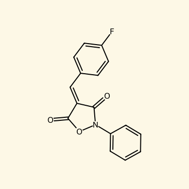 O=C1ON(c2ccccc2)C(=O)C1=Cc1ccc(F)cc1